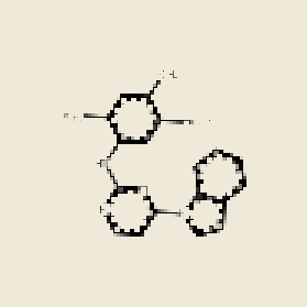 COc1cc(C)c(NC(C)=O)cc1Nc1nccc(-n2ccc3ccccc32)n1